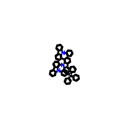 c1ccc(-n2c3ccccc3c3cccc(-c4cccc5c6ccccc6n(-c6cccc7c8ccccc8n(-c8ccc([Si](c9ccccc9)(c9ccccc9)c9ccccc9)cc8)c67)c45)c32)cc1